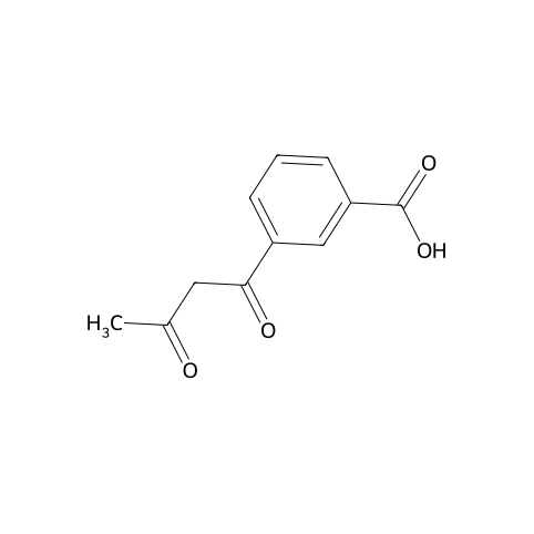 CC(=O)CC(=O)c1cccc(C(=O)O)c1